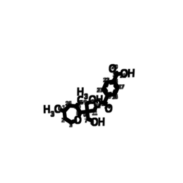 CC1CCOC(C(CO)(CO)COC(=O)c2ccc(C(=O)O)cc2)C(C)C1